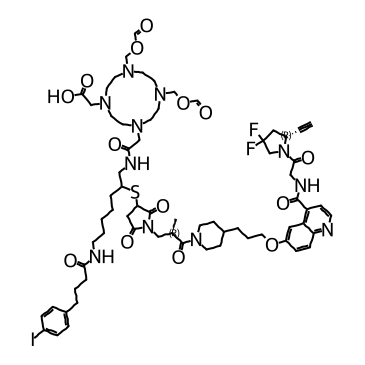 C#C[C@H]1CC(F)(F)CN1C(=O)CNC(=O)c1ccnc2ccc(OCCCC3CCN(C(=O)[C@H](C)CN4C(=O)CC(SC(CCCCCNC(=O)CCCc5ccc(I)cc5)CNC(=O)CN5CCN(COC=O)CCN(COC=O)CCN(CC(=O)O)CC5)C4=O)CC3)cc12